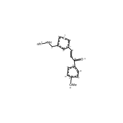 CCCNCc1cccc(C=CC(=O)c2ccc(OC)cc2)c1